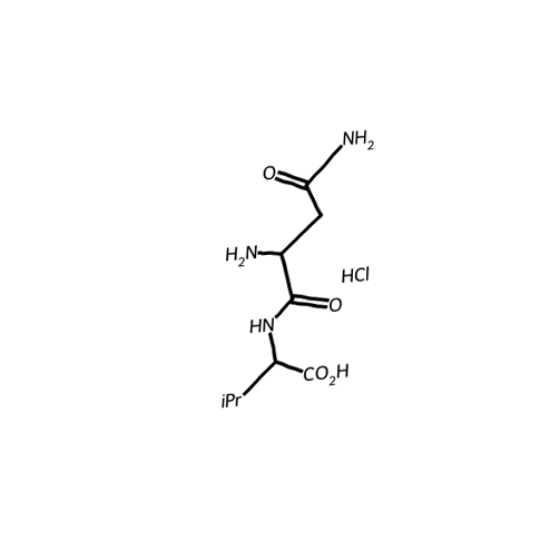 CC(C)C(NC(=O)C(N)CC(N)=O)C(=O)O.Cl